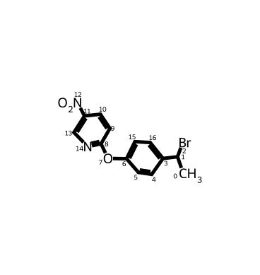 CC(Br)c1ccc(Oc2ccc([N+](=O)[O-])cn2)cc1